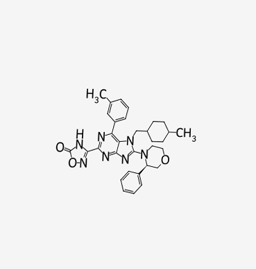 Cc1cccc(-c2nc(-c3noc(=O)[nH]3)nc3nc(N4CCOC[C@H]4c4ccccc4)n(CC4CCC(C)CC4)c23)c1